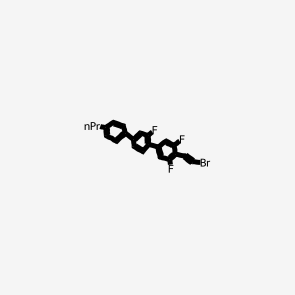 CCCc1ccc(-c2ccc(-c3cc(F)c(C#CBr)c(F)c3)c(F)c2)cc1